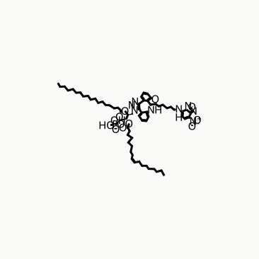 CCCCCCCC/C=C\CCCCCCCC(=O)O[C@@H](COP(=O)(O)O)[C@H](Cn1nnc2c1-c1ccccc1NC(C(=O)CCCCCNc1ccc([N+](=O)[O-])c3nonc13)c1ccccc1-2)OC(=O)CCCCCCCCCCCCCCCCC